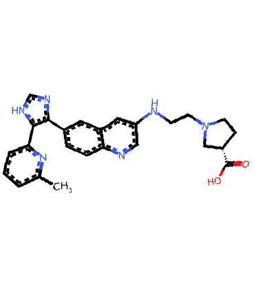 Cc1cccc(-c2[nH]cnc2-c2ccc3ncc(NCCN4CC[C@H](C(=O)O)C4)cc3c2)n1